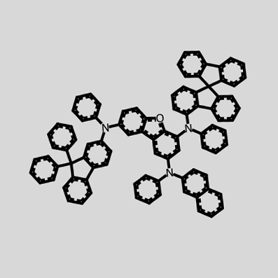 c1ccc(N(c2ccc3c(c2)C(c2ccccc2)(c2ccccc2)c2ccccc2-3)c2ccc3oc4c(N(c5ccccc5)c5cccc6c5-c5ccccc5C65c6ccccc6-c6ccccc65)cc(N(c5ccccc5)c5ccc6ccccc6c5)cc4c3c2)cc1